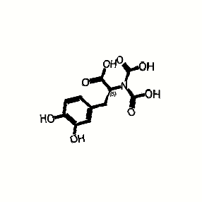 O=C(O)[C@H](Cc1ccc(O)c(O)c1)N(C(=O)O)C(=O)O